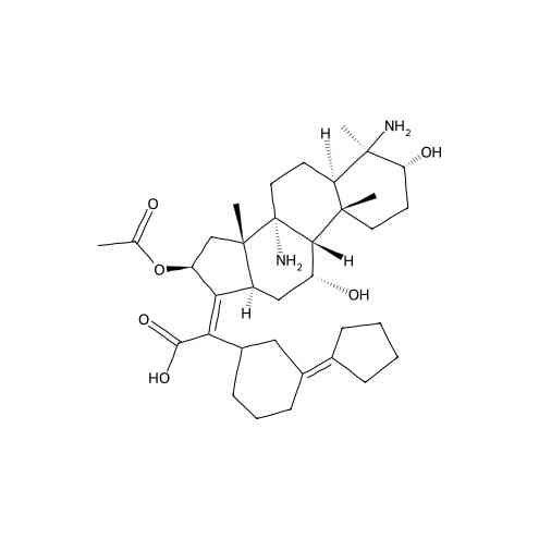 CC(=O)O[C@H]1C[C@@]2(C)[C@@H](C[C@@H](O)[C@H]3[C@@]4(C)CC[C@@H](O)[C@](C)(N)[C@@H]4CC[C@@]32N)/C1=C(/C(=O)O)C1CCCC(=C2CCCC2)C1